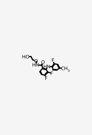 Cc1ccc(Nc2c(C(=O)NOCCO)ccc(F)c2F)c(F)c1